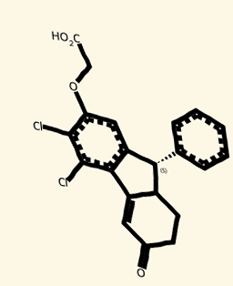 O=C(O)COc1cc2c(c(Cl)c1Cl)C1=CC(=O)CCC1[C@H]2c1ccccc1